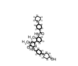 Cc1c(NC(=O)c2ccc(N3CCCCC3)cc2)cccc1-c1cn(C)c(=O)c(Nc2ccc(N3CCC(O)CC3)cc2)n1